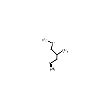 C=CCC(C)CSC